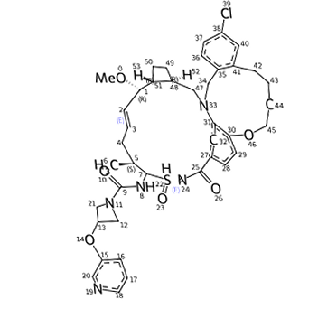 CO[C@H]1/C=C/C[C@H](C)C(NC(=O)N2CC(Oc3cccnc3)C2)/[SH](=O)=N\C(=O)c2ccc3c(c2)N(Cc2ccc(Cl)cc2CCCCO3)C[C@@H]2CC[C@H]21